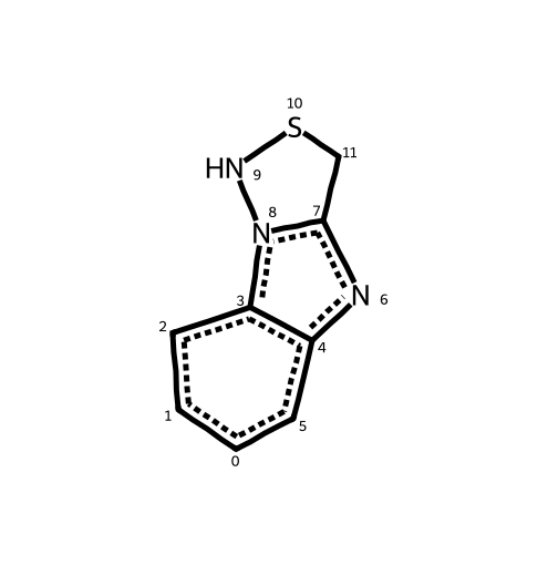 c1ccc2c(c1)nc1n2NSC1